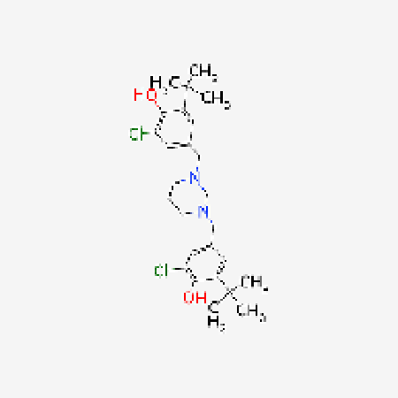 CC(C)(C)c1cc(CN2CCCN(Cc3cc(Cl)c(O)c(C(C)(C)C)c3)C2)cc(Cl)c1O